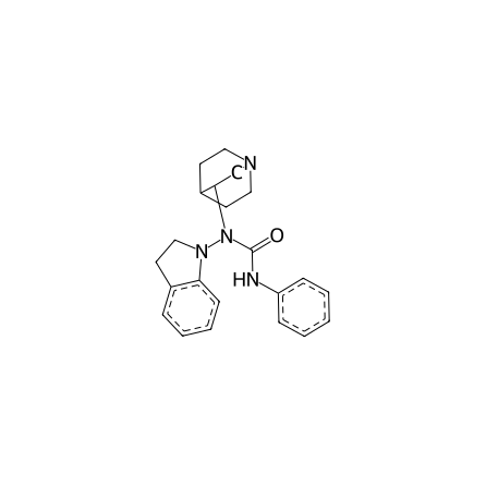 O=C(Nc1ccccc1)N(C1CN2CCC1CC2)N1CCc2ccccc21